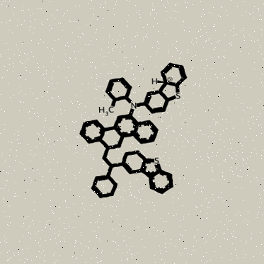 CC1C=CC=CC1N(C1=CC2C(C=C1)SC1C=CC=C[C@H]12)c1cc2c(c3ccccc13)CC(CC(C1=CC=CCC1)C1=Cc3c(sc4ccccc34)CC1)c1ccccc1-2